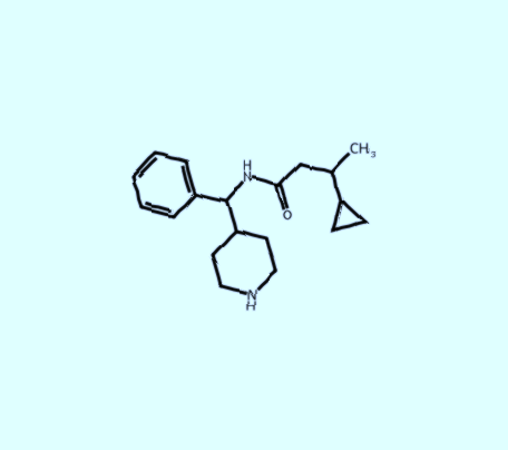 CC(CC(=O)NC(c1ccccc1)C1CCNCC1)C1CC1